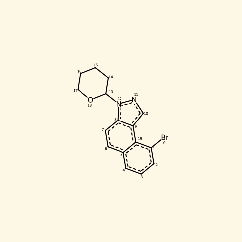 Brc1cccc2ccc3c(cnn3C3CCCCO3)c12